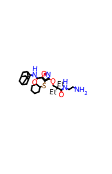 CCC(CC)(COc1noc(C(=O)NC2C3CC4CC(C3)CC2C4)c1SC1CCCCC1)C(=O)NCCN